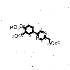 CCCCCCCCCCCc1cnc(-c2ccc(C(=O)O)c(CCCCCCCC)c2)cn1